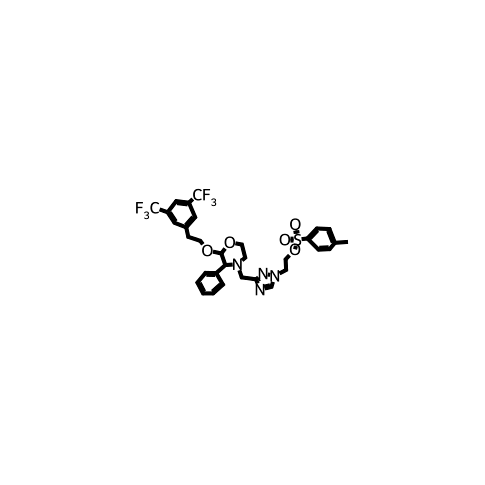 Cc1ccc(S(=O)(=O)OCCn2cnc(CN3CCOC(OCCc4cc(C(F)(F)F)cc(C(F)(F)F)c4)C3c3ccccc3)n2)cc1